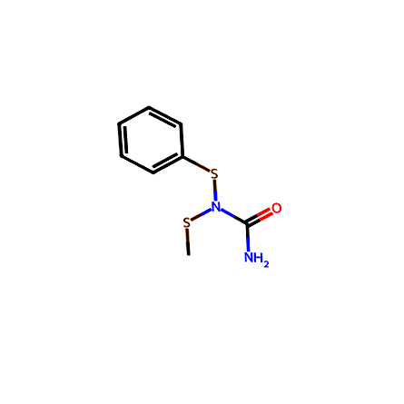 CSN(Sc1ccccc1)C(N)=O